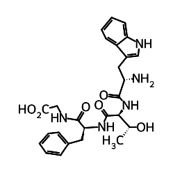 C[C@@H](O)[C@H](NC(=O)[C@@H](N)Cc1c[nH]c2ccccc12)C(=O)N[C@@H](Cc1ccccc1)C(=O)NCC(=O)O